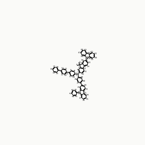 CC1(C)c2cc(N(c3ccc(-c4ccc(-c5ccccc5)cc4)cc3)c3ccc(-c4ccc5c6ccccc6n(-c6ccccc6)c5c4)cc3)ccc2-c2ccc(-n3c4ccccc4c4ccccc43)cc21